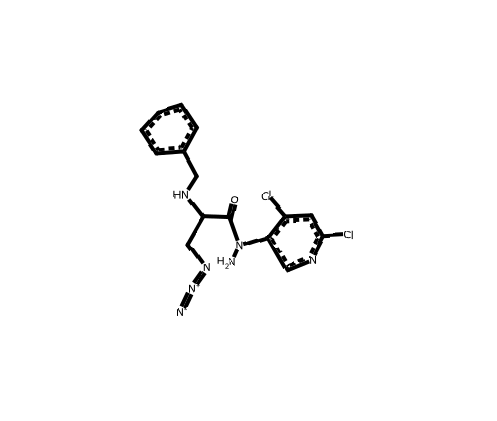 [N-]=[N+]=NCC(NCc1ccccc1)C(=O)N(N)c1cnc(Cl)cc1Cl